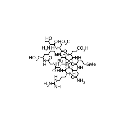 CC[C@H](C)[C@H](NC(=O)[C@H](CC(=O)O)NC(=O)[C@@H](N)[C@@H](C)O)C(=O)N[C@@H](CCC(=O)O)C(=O)N[C@@H](CCSC)C(=O)N[C@@H](CC(N)=O)C(=O)N[C@@H](CCCNC(=N)N)C(=O)N[C@@H](CC(C)C)C(=O)NCC(=O)N[C@@H](CCCCN)C(=O)O